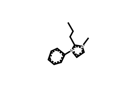 CCCc1n(-c2ccccc2)cc[n+]1C